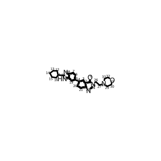 O=c1c2cc(-c3ccc4nc(C5CCCCC5)[nH]c4c3)ccc2ncn1CCN1CCOCC1